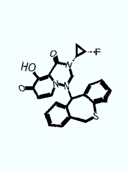 O=C1c2c(O)c(=O)ccn2N(C2c3ccccc3CSc3ccccc32)CN1[C@@H]1C[C@@H]1F